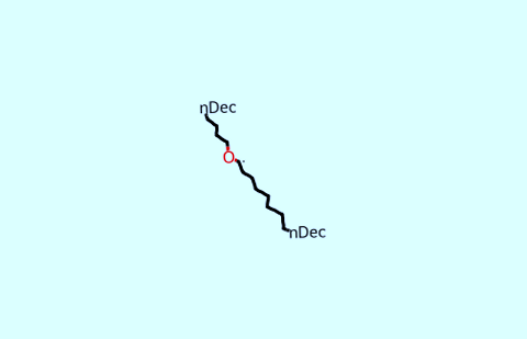 CCCCCCCCCCCCCCCCC[CH]OCCCCCCCCCCCCCC